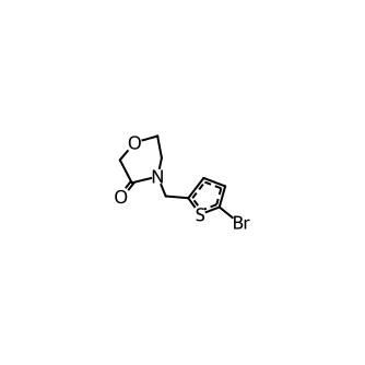 O=C1COCCN1Cc1ccc(Br)s1